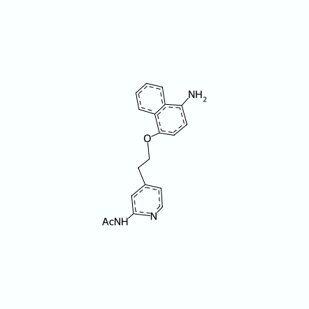 CC(=O)Nc1cc(CCOc2ccc(N)c3ccccc23)ccn1